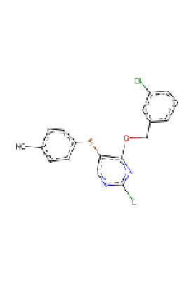 N#Cc1ccc(Sc2cnc(Cl)nc2OCc2cccc(Cl)c2)cc1